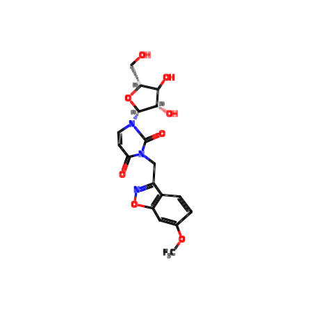 O=c1ccn([C@@H]2O[C@H](CO)C(O)[C@@H]2O)c(=O)n1Cc1noc2cc(OC(F)(F)F)ccc12